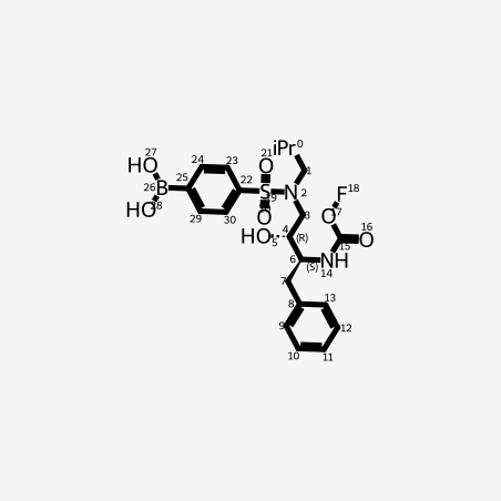 CC(C)CN(C[C@@H](O)[C@H](Cc1ccccc1)NC(=O)OF)S(=O)(=O)c1ccc(B(O)O)cc1